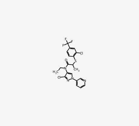 CCN(C(=O)C(C)Sc1ccc(C(F)(F)F)cc1Cl)c1cn(-c2cccnc2)nc1Cl